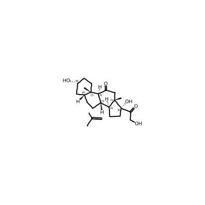 C=C(C)C.C[C@]12CC[C@@H](O)C[C@H]1CC[C@@H]1[C@@H]2C(=O)C[C@@]2(C)[C@H]1CC[C@]2(O)C(=O)CO